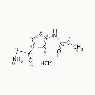 COC(=O)Nc1ccc(C(=O)CN)s1.Cl